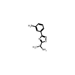 Bc1cccc(-c2noc([C@H](C)N)n2)c1